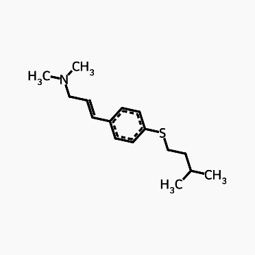 CC(C)CCSc1ccc(C=CCN(C)C)cc1